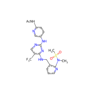 CC(=O)Nc1ccc(Nc2ncc(C(F)(F)F)c(NCc3cccnc3N(C)S(C)(=O)=O)n2)cn1